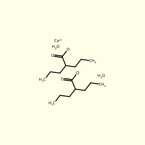 CCCC(CCC)C(=O)[O-].CCCC(CCC)C(=O)[O-].O.O.[Ca+2]